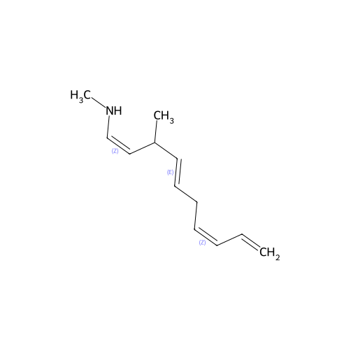 C=C/C=C\C/C=C/C(C)/C=C\NC